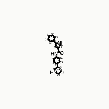 O=C(Nc1ccc(C2CNCCO2)cc1)c1cc(-c2ccccc2)[nH]n1